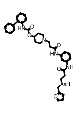 O=C(CC[AsH]Cc1ccco1)Nc1cccc(NC(=O)CCN2CCC(OC(=O)Nc3ccccc3-c3ccccc3)CC2)c1